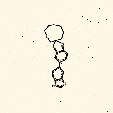 c1nc2cc(-c3ccc4c(c3)=NC3(CCCCCCCC3)N=4)ccc2[nH]1